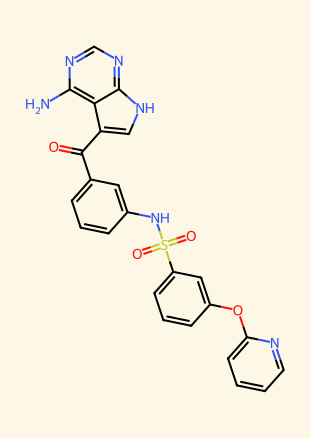 Nc1ncnc2[nH]cc(C(=O)c3cccc(NS(=O)(=O)c4cccc(Oc5ccccn5)c4)c3)c12